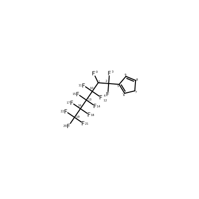 FC(C(F)(F)C1=[C]CC=C1)C(F)(F)C(F)(F)C(F)(F)C(F)(F)F